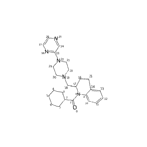 O=C(C1CCCCC1)N1c2ccccc2CCC1CN1CCN(c2cnccn2)CC1